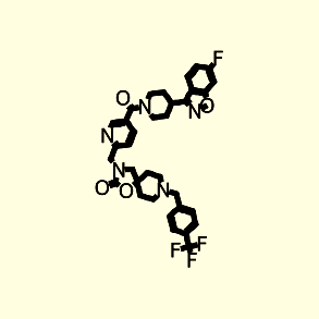 O=C1OC2(CCN(Cc3ccc(C(F)(F)F)cc3)CC2)CN1Cc1ccc(C(=O)N2CCC(c3noc4cc(F)ccc34)CC2)cn1